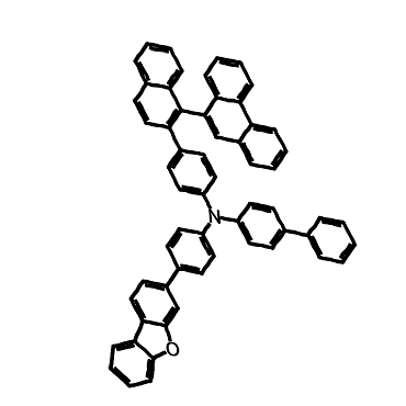 c1ccc(-c2ccc(N(c3ccc(-c4ccc5c(c4)oc4ccccc45)cc3)c3ccc(-c4ccc5ccccc5c4-c4cc5ccccc5c5ccccc45)cc3)cc2)cc1